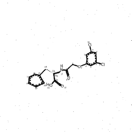 O=C(COc1cc(Cl)cc(Cl)c1)N[C@@H](Cc1ccccc1)C(=O)O